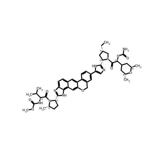 CC[C@H]1C[C@@H](c2ncc(-c3ccc4c(c3)COc3cc5c(ccc6nc([C@@H]7CC[C@H](C)N7C(=O)[C@@H](NC(=O)OC)C(C)C)[nH]c65)cc3-4)[nH]2)N(C(=O)[C@@H](OC(N)=O)C2C[C@@H](C)O[C@H](C)C2)C1